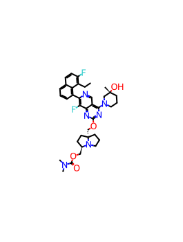 CCc1c(F)ccc2cccc(-c3ncc4c(N5CCC[C@@](C)(O)C5)nc(OC[C@]56CCCN5[C@@H](COC(=O)N(C)C)CC6)nc4c3F)c12